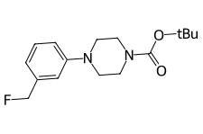 CC(C)(C)OC(=O)N1CCN(c2cccc(CF)c2)CC1